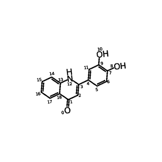 O=c1cc(-c2ccc(O)c(O)c2)[nH]c2ccccc12